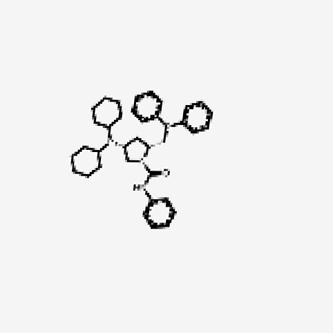 O=C(Nc1ccccc1)N1C[C@H](P(C2CCCCC2)C2CCCCC2)C[C@@H]1CP(c1ccccc1)c1ccccc1